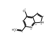 C=Cc1cc(Cl)c2cc[nH]c2n1